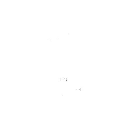 CC(C)(C)C(O)NCc1ccc(S(C)(=O)=O)cc1